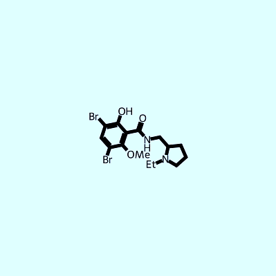 CCN1CCCC1CNC(=O)c1c(O)c(Br)cc(Br)c1OC